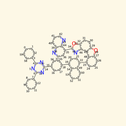 c1ccc(-c2nc(-c3ccccc3)nc(-c3ccc(-c4ccc(-c5cccc6oc7ccc8oc(-c9ccnc%10cccnc9%10)nc8c7c56)c5ccccc45)cc3)n2)cc1